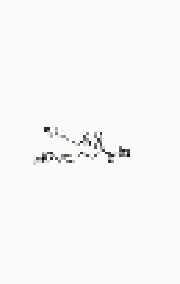 CCC(C)OC(=O)CC(C(=O)O)C(C)C(F)(F)F